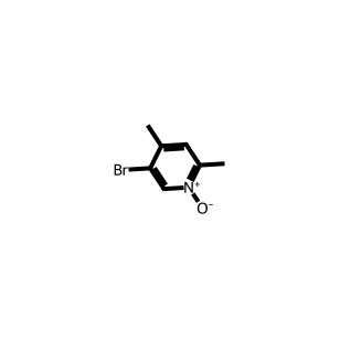 Cc1cc(C)[n+]([O-])cc1Br